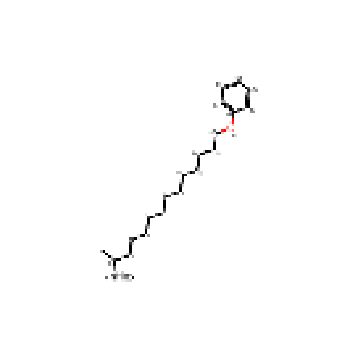 CCCCCCC(C)CCCCCCCCCCCCOc1ccccc1